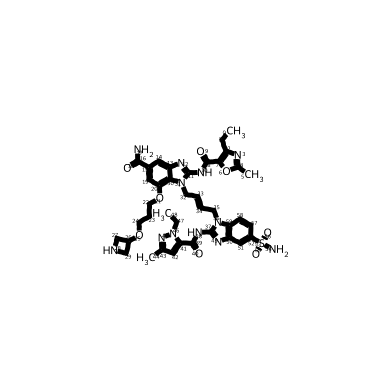 CCc1nc(C)oc1C(=O)Nc1nc2cc(C(N)=O)cc(OCCCOC3CNC3)c2n1C/C=C/Cn1c(NC(=O)c2cc(C)nn2CC)nc2cc(S(N)(=O)=O)ccc21